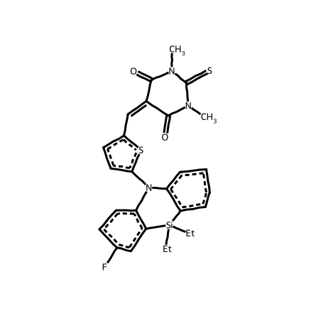 CC[Si]1(CC)c2ccccc2N(c2ccc(C=C3C(=O)N(C)C(=S)N(C)C3=O)s2)c2ccc(F)cc21